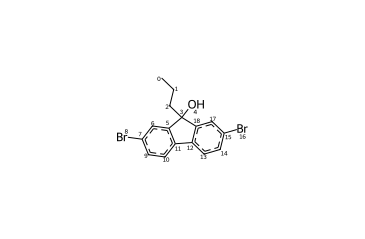 CCCC1(O)c2cc(Br)ccc2-c2ccc(Br)cc21